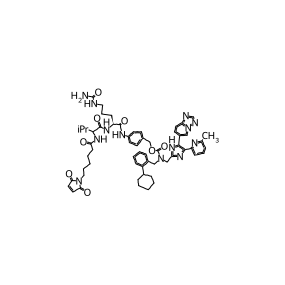 Cc1cccc(-c2nc(CN(Cc3ccccc3C3CCCCC3)C(=O)OCc3ccc(NC(=O)[C@H](CCCNC(N)=O)NC(=O)C(NC(=O)CCCCCN4C(=O)C=CC4=O)C(C)C)cc3)[nH]c2-c2ccc3ncnn3c2)n1